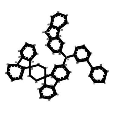 c1ccc(-c2cccc(N(c3ccc4c(c3)C3(CCC5(CC3)c3ccccc3-c3ccccc35)c3ccccc3-4)c3ccc4oc5ccccc5c4c3)c2)cc1